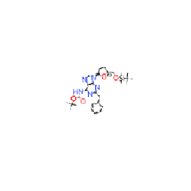 CC(C)(C)OC(=O)Nc1nc(Cc2ccccc2)nc2c1ncn2[C@H]1CC[C@@H](CO[Si](C)(C)C(C)(C)C)O1